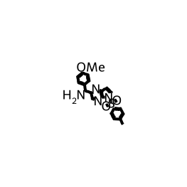 COc1ccc(C(N)c2cnc3c(ccn3S(=O)(=O)c3ccc(C)cc3)n2)cc1